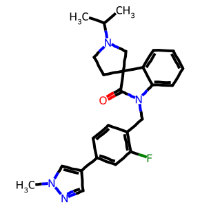 CC(C)N1CCC2(C1)C(=O)N(Cc1ccc(-c3cnn(C)c3)cc1F)c1ccccc12